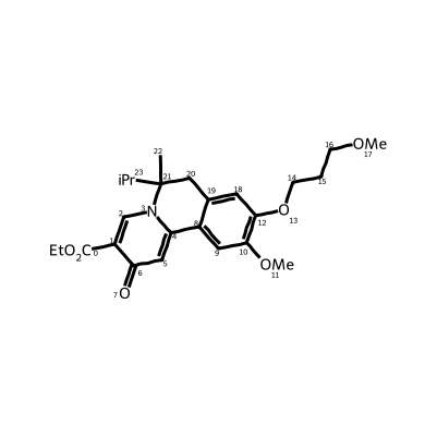 CCOC(=O)c1cn2c(cc1=O)-c1cc(OC)c(OCCCOC)cc1CC2(C)C(C)C